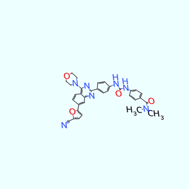 CN(C)C(=O)c1ccc(NC(=O)Nc2ccc(-c3nc(N4CCOCC4)c4ccc(-c5ccc(C#N)o5)cc4n3)cc2)cc1